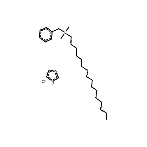 CCCCCCCCCCCCCCCC[N+](C)(C)Cc1ccccc1.[Cl-].c1c[nH]cn1